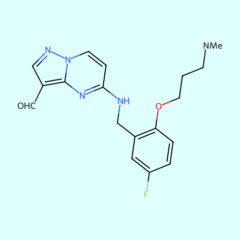 CNCCCOc1ccc(F)cc1CNc1ccn2ncc(C=O)c2n1